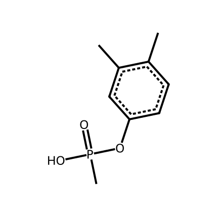 Cc1ccc(OP(C)(=O)O)cc1C